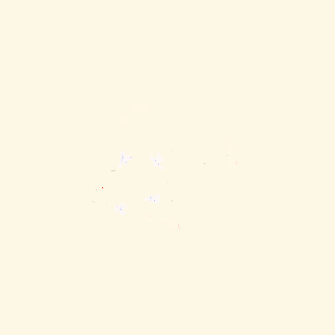 Cc1ccccc1-c1cccc[n+]1C1C[n+]2cc(ccc2C(=O)O)-c2cc(-c3ccc(C(=O)O)cc3)cc(-c3ccc(C(=O)O)cc3)[n+]2CC[n+]2ccccc2-c2ccccc21